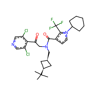 CC(C)(C)[C@H]1C[C@@H](CN(CC(=O)c2c(Cl)cncc2Cl)C(=O)c2ccn(C3CCCCC3)c2C(F)(F)F)C1